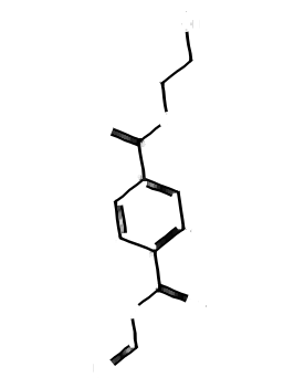 C=COC(=O)c1ccc(C(=O)OCCO)cc1